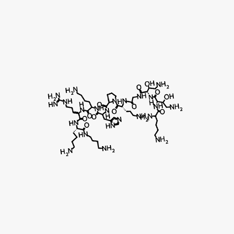 N=C(N)NCC/C=C(\NC(=O)C(CCCCN)NC(=O)C(Cc1cnc[nH]1)NC(=O)C1CCCN1C(=O)[C@@H](CCCN)NC(=O)CNC(=O)[C@@H](NC(=O)[C@@H](NC(=O)C(N)CCCCN)C(O)CN)[C@@H](O)CN)C(=O)N[C@@H](CCCCN)C(=O)NCCCCN